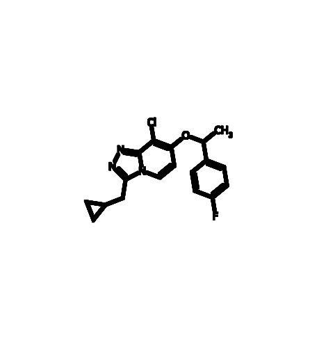 CC(Oc1ccn2c(CC3CC3)nnc2c1Cl)c1ccc(F)cc1